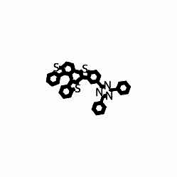 c1ccc(-c2nc(-c3ccccc3)nc(-c3ccc4sc5c6ccc7sc8ccccc8c7c6c6c7ccccc7sc6c5c4c3)n2)cc1